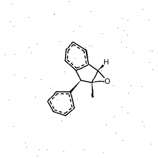 C[C@]12O[C@H]1c1ccccc1[C@@H]2c1ccccc1